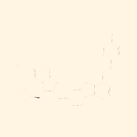 O=C(O)c1ccc2nc(CN3CCn4c(nc5c(CCc6ccc(Cl)cc6F)cccc54)C3)n(C[C@@H]3CCO3)c2c1